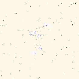 CNCc1ccc(-c2ccnc(-c3cn(C)c(=O)n3-c3ccc(C(C)(C)N)cc3)c2)cn1